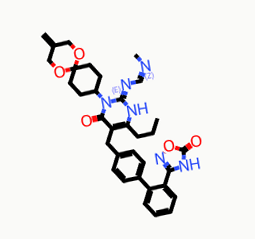 C=C1COC2(CCC(n3c(=O)c(Cc4ccc(-c5ccccc5-c5noc(=O)[nH]5)cc4)c(CCC)[nH]/c3=N\C=N/C)CC2)OC1